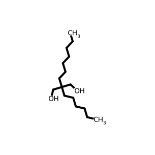 CCCCCCCC(CO)(CO)CCCCCC